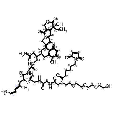 C/C=C\C=C(/C)CC(NC(=O)CNC(=O)CNC(=O)CN(CCOCCOCCOCCO)C(=O)CCCCCN1C(=O)C=CC1=O)C(=O)NCC(=O)NCC(CC(N)=O)C1Cc2c(C)c(F)cc3nc4c(c(c23)C1)Cn1c-4cc2c(c1=O)COC(=O)[C@]2(O)CC